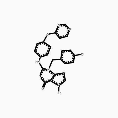 CCn1cnc2c1c(=O)nc(Nc1ccc(Oc3ccncn3)cc1)n2Cc1ccc(Cl)cc1